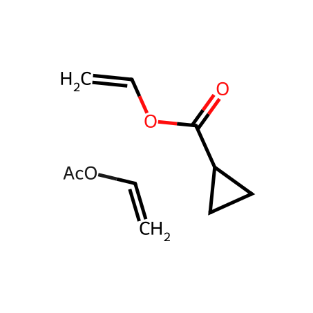 C=COC(=O)C1CC1.C=COC(C)=O